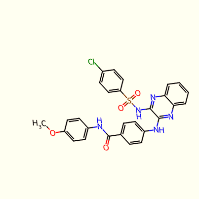 COc1ccc(NC(=O)c2ccc(Nc3nc4ccccc4nc3NS(=O)(=O)c3ccc(Cl)cc3)cc2)cc1